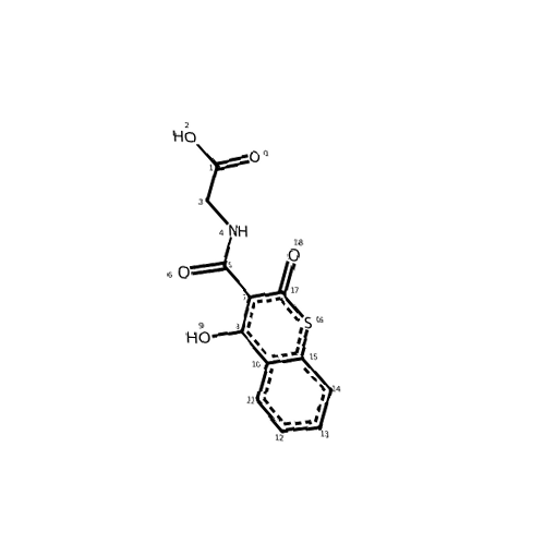 O=C(O)CNC(=O)c1c(O)c2ccccc2sc1=O